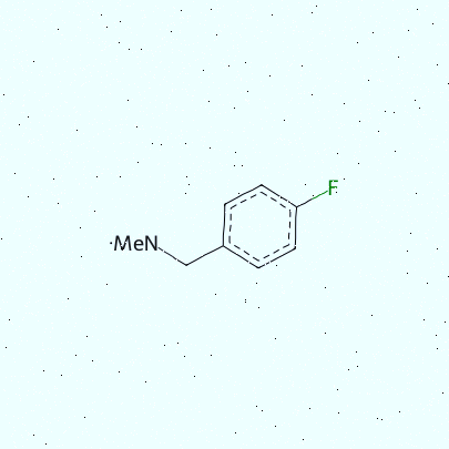 C[N]Cc1ccc(F)cc1